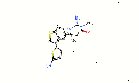 CN1C(=N)N[C@](C)(c2ccc3scc(-c4ccc(N)s4)c3c2)CC1=O